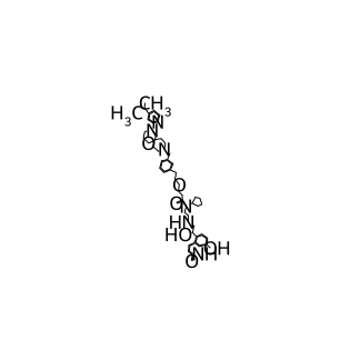 CC(C)c1ccnc(N2CCOC3(CCN(Cc4cccc(CCOCCC(=O)N(CCNCC(O)c5ccc(O)c6[nH]c(=O)ccc56)C5CCCC5)c4)CC3)C2)c1